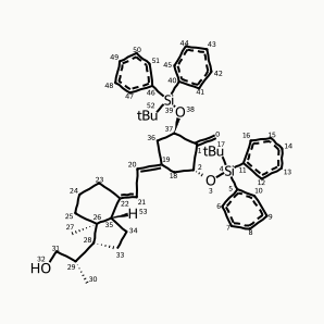 C=C1[C@H](O[Si](c2ccccc2)(c2ccccc2)C(C)(C)C)CC(=C/C=C2\CCC[C@]3(C)[C@@H]([C@H](C)CO)CC[C@@H]23)C[C@H]1O[Si](c1ccccc1)(c1ccccc1)C(C)(C)C